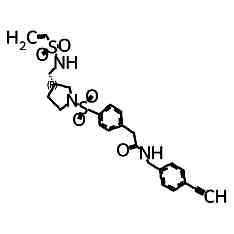 C#Cc1ccc(CNC(=O)Cc2ccc(S(=O)(=O)N3CC[C@H](CNS(=O)(=O)C=C)C3)cc2)cc1